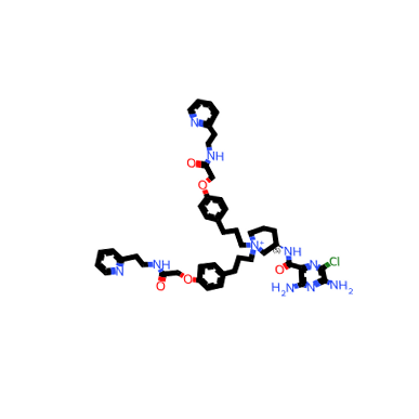 Nc1nc(N)c(C(=O)N[C@H]2CCC[N+](CCCc3ccc(OCC(=O)NCCc4ccccn4)cc3)(CCCc3ccc(OCC(=O)NCCc4ccccn4)cc3)C2)nc1Cl